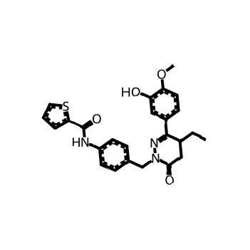 CCC1CC(=O)N(Cc2ccc(NC(=O)c3cccs3)cc2)N=C1c1ccc(OC)c(O)c1